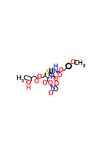 CCC(CO)CC(=O)OCC1=CS[C@@H]2C(NC(=O)OCc3ccc(OC)cc3)C(=O)N2C1C(=O)OCN1C(=O)CCC1=O